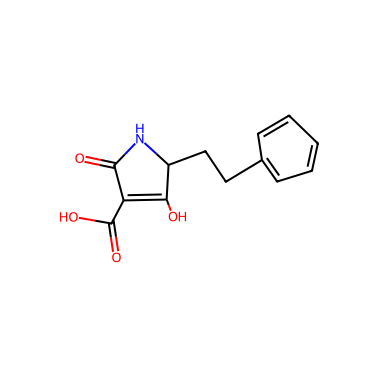 O=C(O)C1=C(O)C(CCc2ccccc2)NC1=O